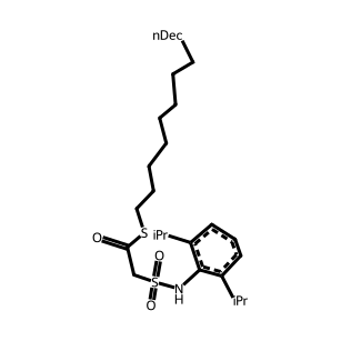 CCCCCCCCCCCCCCCCCCSC(=O)CS(=O)(=O)Nc1c(C(C)C)cccc1C(C)C